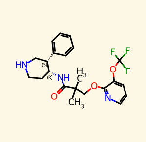 CC(C)(COc1ncccc1OC(F)(F)F)C(=O)N[C@@H]1CCNC[C@@H]1c1ccccc1